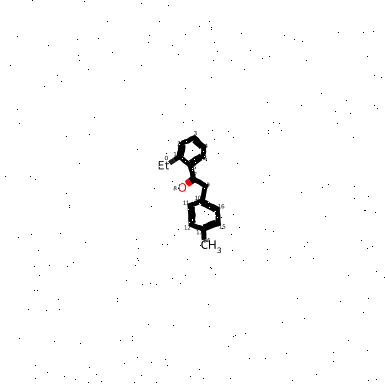 CCc1ccccc1C(=O)Cc1ccc(C)cc1